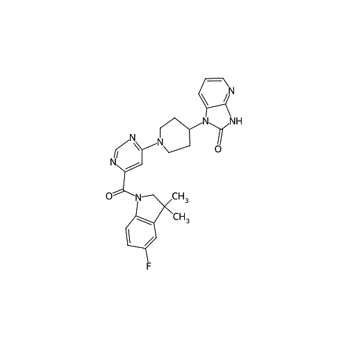 CC1(C)CN(C(=O)c2cc(N3CCC(n4c(=O)[nH]c5ncccc54)CC3)ncn2)c2ccc(F)cc21